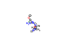 CCN1CCN(C(C)(C)C=C(C#N)C(=O)N2CCC[C@H](n3cc(N)c(-c4ccc(Oc5ccccc5)cc4F)n3)C2)CC1